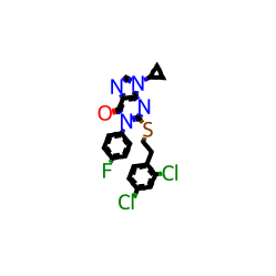 O=c1c2ncn(C3CC3)c2nc(SCCc2ccc(Cl)cc2Cl)n1-c1ccc(F)cc1